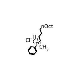 CCCCCCCCCCCC[P+](C)(C)c1ccccc1.[Cl-]